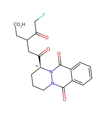 O=C(O)CC(CC(=O)[C@@H]1CCCn2c(=O)c3ccccc3c(=O)n21)C(=O)CF